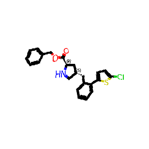 O=C(OCc1ccccc1)[C@H]1C[C@H](Cc2ccccc2-c2ccc(Cl)s2)CN1